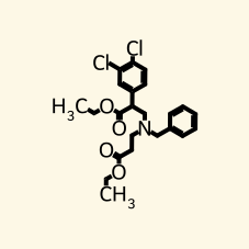 CCOC(=O)CCN(Cc1ccccc1)CC(C(=O)OCC)c1ccc(Cl)c(Cl)c1